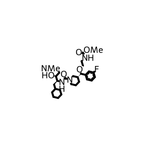 CNC[C@H](O)[C@H](CC1CCCCC1)NC(=O)N1CCC[C@@H](C(OCCNC(=O)OC)c2cccc(F)c2)C1